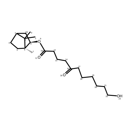 CC1(C)C2CC[C@]1(C)[C@H](OC(=O)CCCC(=O)CCCCCCO)C2